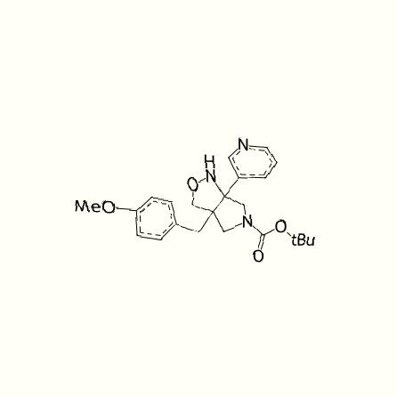 COc1ccc(CC23CONC2(c2cccnc2)CN(C(=O)OC(C)(C)C)C3)cc1